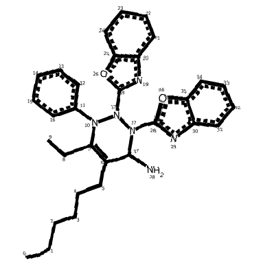 CCCCCCC1=C(CC)N(c2ccccc2)N(c2nc3ccccc3o2)N(c2nc3ccccc3o2)C1N